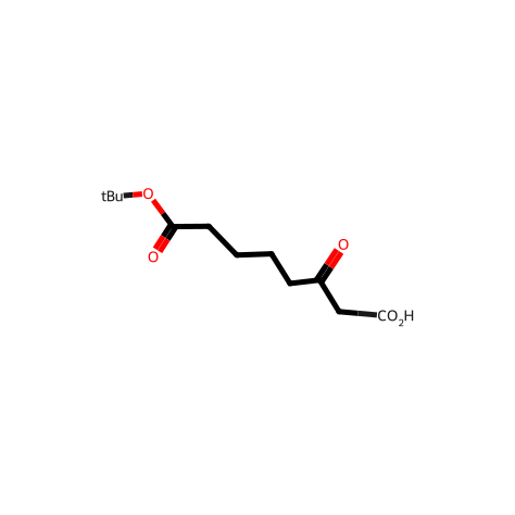 CC(C)(C)OC(=O)CCCCC(=O)CC(=O)O